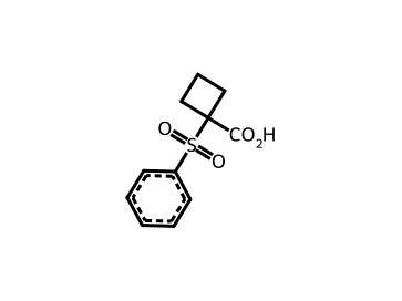 O=C(O)C1(S(=O)(=O)c2ccccc2)CCC1